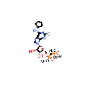 COP(C)(=O)CP(=O)(OC)OC[C@H]1O[C@@H](n2cnc3c(NC4CCCC4)nc(Cl)nc32)[C@H](O)[C@@H]1O